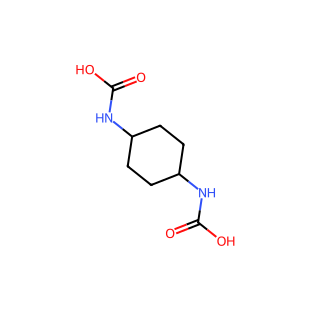 O=C(O)NC1CCC(NC(=O)O)CC1